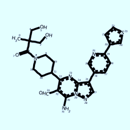 CC(CO)(CO)C(=O)N1CCC(c2nc3c(-c4ccc(-c5ccsc5)nc4)cnn3c(N)c2C=O)CC1